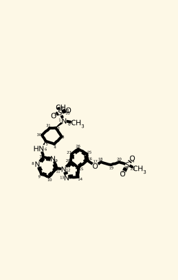 CN([C@H]1CC[C@H](Nc2nccc(-n3ncc4c(OCCCS(C)(=O)=O)cccc43)n2)CC1)S(C)(=O)=O